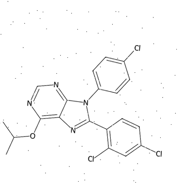 CC(C)Oc1ncnc2c1nc(-c1ccc(Cl)cc1Cl)n2-c1ccc(Cl)cc1